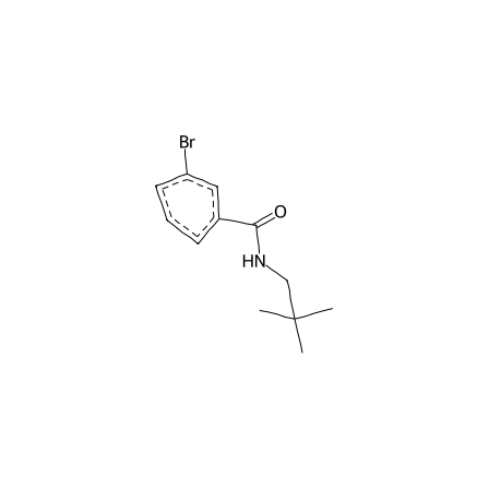 CC(C)(C)CNC(=O)c1cccc(Br)c1